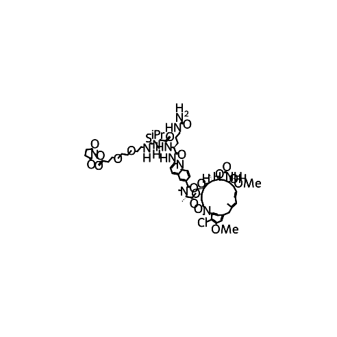 COc1cc2cc(c1Cl)N(C)C(=O)C[C@H](OC(=O)[C@H](C)N(C)C(=O)c1ccc3nc(NC(=O)[C@H](CCCNC(N)=O)NC(=O)[C@@H](NC(=S)NCCOCCOCCC(=O)ON4C(=O)CCC4=O)C(C)C)ccc3c1)[C@]1(C)O[C@H]1[C@H](C)[C@@H]1C[C@@](O)(NC(=O)O1)[C@H](OC)/C=C/C=C(\C)C2